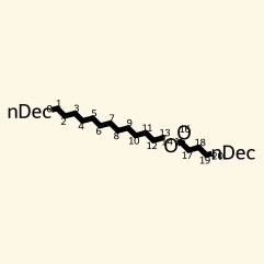 CCCCCCCCCCCCCCCCCCCCCCCOC(=O)CCCCCCCCCCCCC